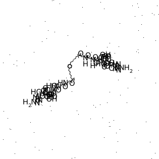 CC(C)(CCCCCc1ccc(CCCCCC2(C(=O)CCNC(=O)CCNC(=O)C(O)C(C)(C)COP(=O)(O)OP(=O)(O)OCC3OC(n4cnc5c(N)ncnc54)C(O)C3OP(=O)(O)O)CC2)cc1)C(=O)CCNC(=O)CCNC(=O)C(O)C(C)(C)COP(=O)(O)OP(=O)(O)OCC1OC(n2cnc3c(N)ncnc32)C(O)C1OP(=O)(O)O